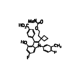 CNC(=O)OCCC1(c2c(-c3ccc(C(=O)O)cc3)c3c(O)cc(F)cc3n2-c2ccc(F)c(C)c2)CCC1